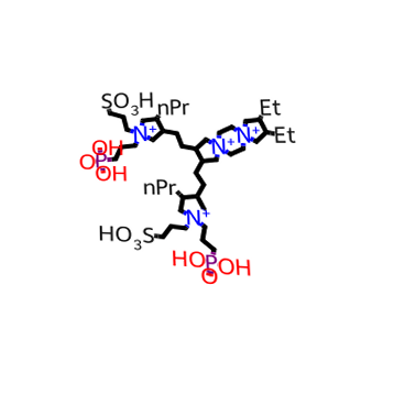 CCCC1C[N+](CCCP(=O)(O)O)(CCCS(=O)(=O)O)CC1CCC1C[N+]2(CC[N+]3(CC2)CC(CC)C(CC)C3)CC1CCC1C[N+](CCCP(=O)(O)O)(CCCS(=O)(=O)O)CC1CCC